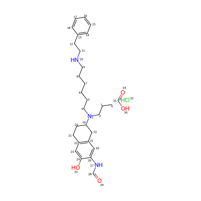 CCCN(CCCCCCNCCc1ccccc1)C1CCc2cc(O)c(NC=O)cc2C1.Cl.O=CO